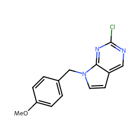 COc1ccc(Cn2ccc3cnc(Cl)nc32)cc1